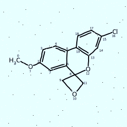 COc1ccc2c(c1)C1(COC1)Oc1cc(Cl)ccc1-2